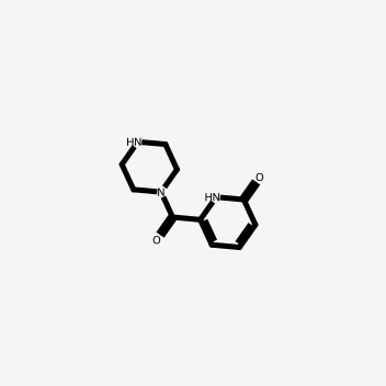 O=C(c1cccc(=O)[nH]1)N1CCNCC1